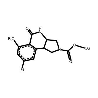 CCc1cc2c(c(C(F)(F)F)c1)C(=O)NC1CN(C(=O)OC(C)(C)C)CC21